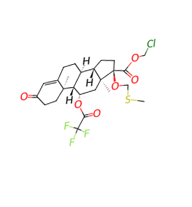 CSCO[C@]1(C(=O)OCCl)CC[C@H]2[C@@H]3CCC4=CC(=O)CC[C@]4(C)[C@H]3[C@@H](OC(=O)C(F)(F)F)C[C@@]21C